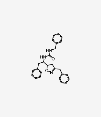 O=C(NCc1ccccc1)NC(Cc1ccccc1)C1CC(Cc2ccccc2)=NO1